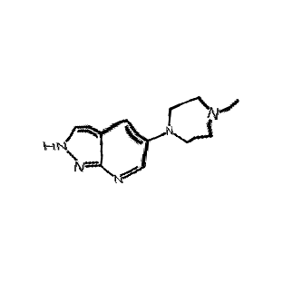 CN1CCN(c2cnc3n[nH]cc3c2)CC1